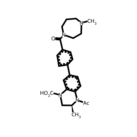 CC(=O)N1c2ccc(-c3ccc(C(=O)N4CCCN(C)CC4)cc3)cc2N(C(=O)O)C[C@@H]1C